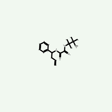 C=CCC(OC(=O)C(=O)OC(C)(C)C(C)(C)CCC)c1ccccc1